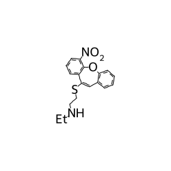 CCNCCSC1=Cc2ccccc2Oc2c1cccc2[N+](=O)[O-]